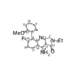 CCN1Cc2nc3c(-c4ccccc4OC)c(F)ccc3c(N)c2C1=O